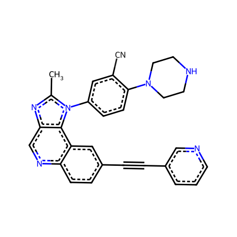 Cc1nc2cnc3ccc(C#Cc4cccnc4)cc3c2n1-c1ccc(N2CCNCC2)c(C#N)c1